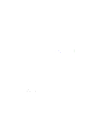 CCCCCCCCCCCCCCCCNC(Cl)c1ccccc1